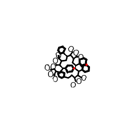 O=C1CC(CC(c2ccccc2)C2C(=O)OC(=O)C2CC(c2ccccc2)C2C(=O)OC(=O)C2CC(CC(c2ccccc2)C2C(=O)OC(=O)C2CCc2ccccc2)c2ccccc2)C(=O)O1